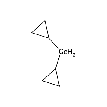 C1C[CH]1[GeH2][CH]1CC1